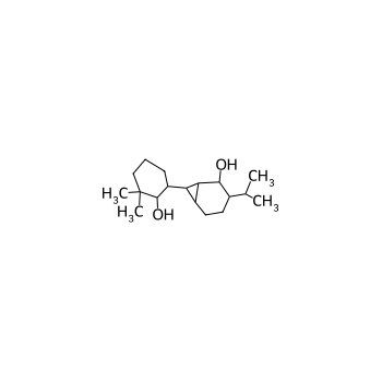 CC(C)C1CCC2C(C1O)C2C1CCCC(C)(C)C1O